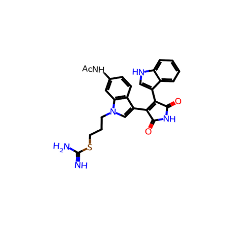 CC(=O)Nc1ccc2c(C3=C(c4c[nH]c5ccccc45)C(=O)NC3=O)cn(CCCSC(=N)N)c2c1